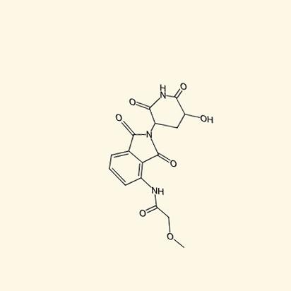 COCC(=O)Nc1cccc2c1C(=O)N(C1CC(O)C(=O)NC1=O)C2=O